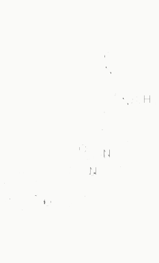 CN1CCC(N(C)C2CCC(n3ccn(-c4ccc(Oc5ccccc5)cc4)c3=O)CC2)C1